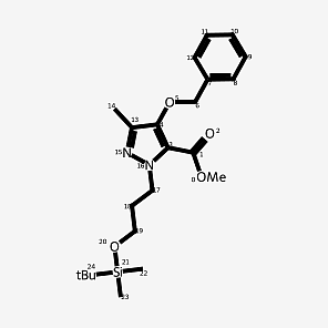 COC(=O)c1c(OCc2ccccc2)c(C)nn1CCCO[Si](C)(C)C(C)(C)C